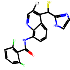 CCc1cnc2c(NC(=O)c3c(Cl)cccc3Cl)cccc2c1C(S)c1ncc[nH]1